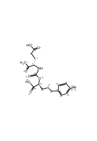 CC(=O)[C@H](CCC(=O)O)NC(=O)O[C@@H](CSCc1ccc([77Br])cc1)C(=O)O